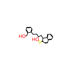 OCc1ccccc1CCC(O)CC1C(=S)C=Cc2ccccc21